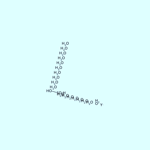 O.O.O.O.O.O.O.O.O.O.O.O.O.O.O.O.O.O.O=S(=O)(O)O.[Y]